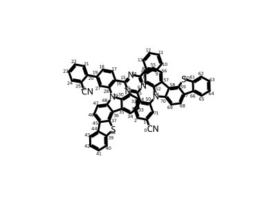 N#Cc1ccc(-c2nc(-c3ccccc3)nc(-c3ccc(-c4ccccc4C#N)cc3-n3c4ccccc4c4c5sc6ccccc6c5ccc43)n2)c(-n2c3ccccc3c3c4sc5ccccc5c4ccc32)c1